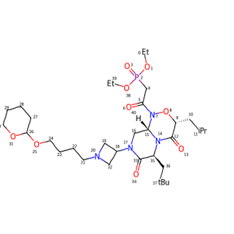 CCOP(=O)(CC(=O)N1O[C@H](CC(C)C)C(=O)N2[C@@H]1CN(C1CN(CCCCOC3CCCCO3)C1)C(=O)[C@@H]2CC(C)(C)C)OCC